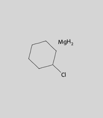 ClC1CCCCC1.[MgH2]